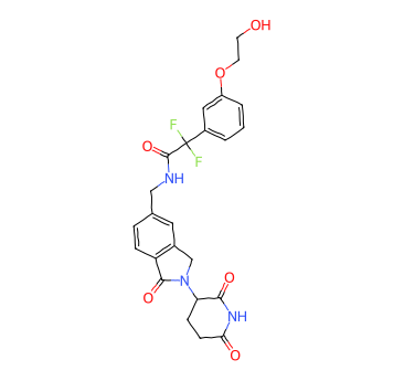 O=C1CCC(N2Cc3cc(CNC(=O)C(F)(F)c4cccc(OCCO)c4)ccc3C2=O)C(=O)N1